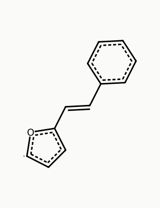 [c]1ccc(C=Cc2ccccc2)o1